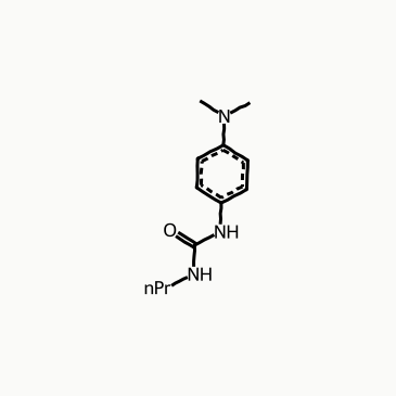 CCCNC(=O)Nc1ccc(N(C)C)cc1